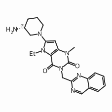 CCn1c(N2CCC[C@@H](N)C2)cc2c1c(=O)n(Cc1ncc3ccccc3n1)c(=O)n2C